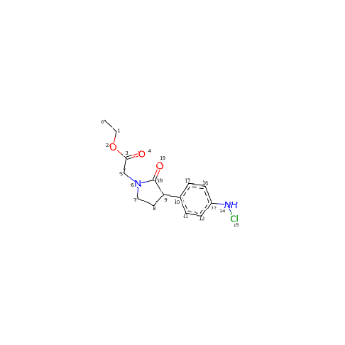 CCOC(=O)CN1CCC(c2ccc(NCl)cc2)C1=O